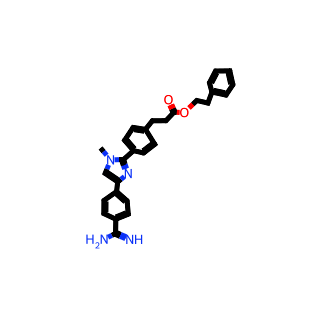 Cn1cc(-c2ccc(C(=N)N)cc2)nc1-c1ccc(CCC(=O)OCCc2ccccc2)cc1